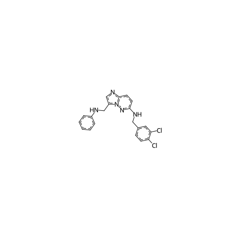 Clc1ccc(CNc2ccc3ncc(CNc4ccccc4)n3n2)cc1Cl